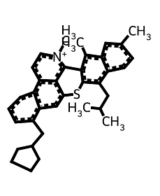 Cc1ccc2c(CC(C)C)c3c(c(C)c2c1)-c1c2c(cc4c(CC5CCCC5)cccc4c2cc[n+]1C)S3